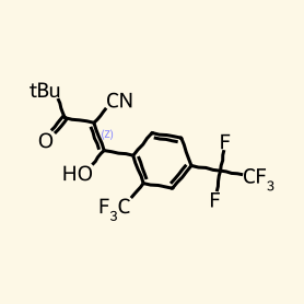 CC(C)(C)C(=O)/C(C#N)=C(\O)c1ccc(C(F)(F)C(F)(F)F)cc1C(F)(F)F